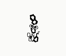 O=C1OCc2cccc(CF)c2N1C1CCN(S(=O)(=O)c2ccc3ccccc3c2)CC1